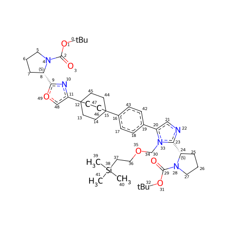 CC(C)(C)OC(=O)N1CCC[C@H]1c1nc(C23CCC(c4ccc(-c5cnc([C@@H]6CCCN6C(=O)OC(C)(C)C)n5COCC[Si](C)(C)C)cc4)(CC2)CC3)co1